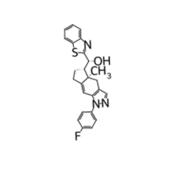 C[C@]12Cc3cnn(-c4ccc(F)cc4)c3C=C1CC[C@@H]2[C@@H](O)c1nc2ccccc2s1